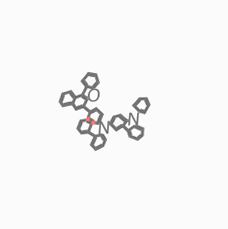 c1ccc(-c2ccccc2N(c2ccc(-c3cc4ccccc4c4c3oc3ccccc34)cc2)c2ccc3c(c2)c2ccccc2n3-c2ccccc2)cc1